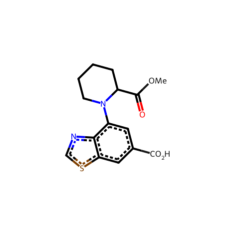 COC(=O)C1CCCCN1c1cc(C(=O)O)cc2scnc12